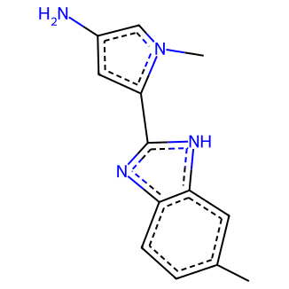 Cc1ccc2nc(-c3cc(N)cn3C)[nH]c2c1